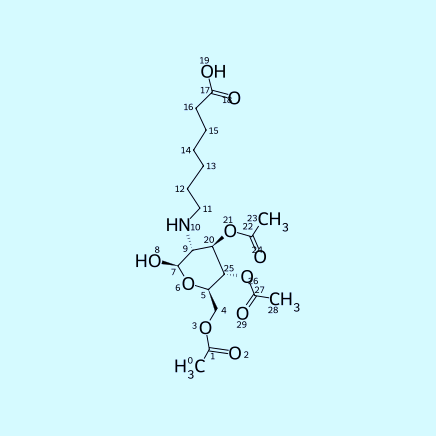 CC(=O)OC[C@H]1O[C@@H](O)[C@H](NCCCCCCC(=O)O)[C@@H](OC(C)=O)[C@@H]1OC(C)=O